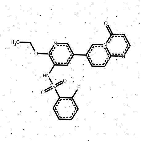 CCOc1ncc(-c2ccc3nccc(=O)n3c2)cc1NS(=O)(=O)c1ccccc1F